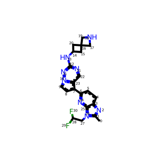 Cc1nc2ccc(-c3ccn4nc(NC5CC6(CNC6)C5)ncc34)nc2n1CC(F)F